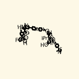 Cc1ncsc1-c1ccc(CNC(=O)[C@@H]2C[C@@H](O)CN2C(=O)[C@@H](c2cc(OCCN3CCN(c4ccc(-c5cnc6[nH]cc(C(=O)c7c(F)ccc(N(N8CC[C@@H](F)C8)[SH](=O)=O)c7F)c6c5)cc4)CC3)no2)C(C)C)cc1